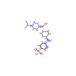 CC(C)N1CCN(C(=O)[C@H]2CC[C@H](Nc3ccc(S(C)(=O)=O)cn3)CC2)CC1